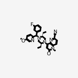 CC[C@H]1CN(C(c2cccc(F)c2)c2ccc(OC)cn2)[C@H](CC)CN1c1cc(=O)n(C)c2ccc(C#N)nc12